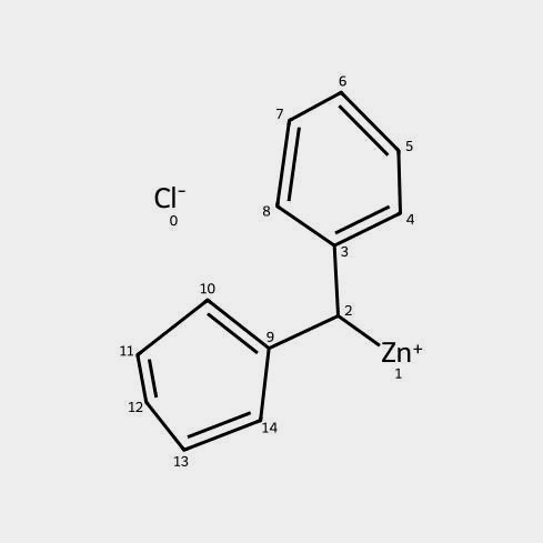 [Cl-].[Zn+][CH](c1ccccc1)c1ccccc1